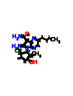 CCCCc1cnc2c(n1)c(C(N)=O)c(N)n2-c1c(Cl)ccc(O)c1C